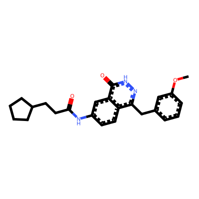 COc1cccc(Cc2n[nH]c(=O)c3cc(NC(=O)CCC4CCCC4)ccc23)c1